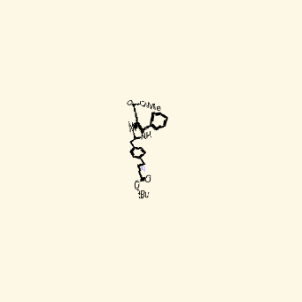 COC(=O)c1nc(Cc2ccc(/C=C/C(=O)OC(C)(C)C)cc2)[nH]c1-c1ccccc1